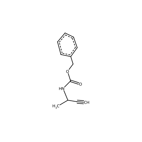 C#CC(C)NC(=O)OCc1ccccc1